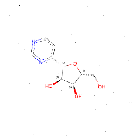 OC[C@H]1O[C@@H](c2ccncn2)[C@H](O)[C@@H]1O